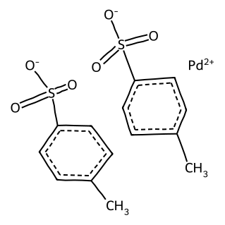 Cc1ccc(S(=O)(=O)[O-])cc1.Cc1ccc(S(=O)(=O)[O-])cc1.[Pd+2]